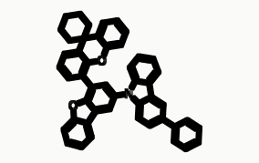 c1ccc(-c2ccc3c(c2)c2ccccc2n3-c2cc(-c3cccc4c3Oc3ccccc3C43CCCCC3)c3oc4ccccc4c3c2)cc1